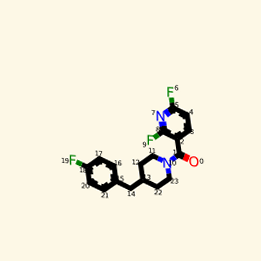 O=C(c1ccc(F)nc1F)N1CCC(Cc2ccc(F)cc2)CC1